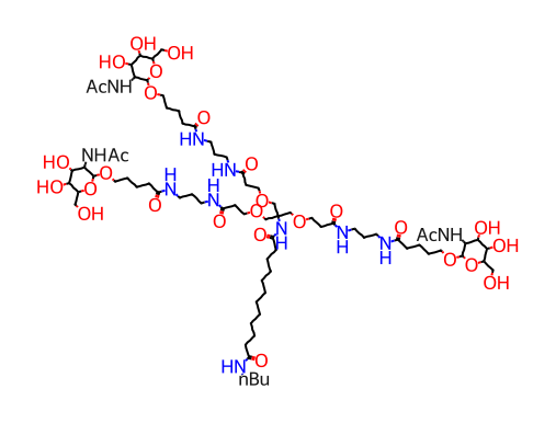 CCCCNC(=O)CCCCCCCCCCC(=O)NC(COCCC(=O)NCCCNC(=O)CCCCOC1OC(CO)C(O)C(O)C1NC(C)=O)(COCCC(=O)NCCCNC(=O)CCCCOC1OC(CO)C(O)C(O)C1NC(C)=O)COCCC(=O)NCCCNC(=O)CCCCOC1OC(CO)C(O)C(O)C1NC(C)=O